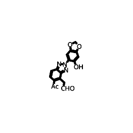 CC(=O)c1ccc2nn(-c3cc4c(cc3O)OCO4)nc2c1CC=O